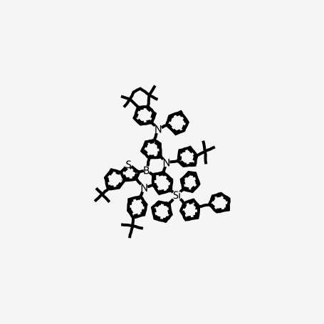 CC(C)(C)c1ccc(N2c3cc(N(c4ccccc4)c4ccc5c(c4)C(C)(C)CCC5(C)C)ccc3B3c4sc5ccc(C(C)(C)C)cc5c4N(c4ccc(C(C)(C)C)cc4)c4cc([Si](c5ccccc5)(c5ccccc5)c5cccc(-c6ccccc6)c5)cc2c43)cc1